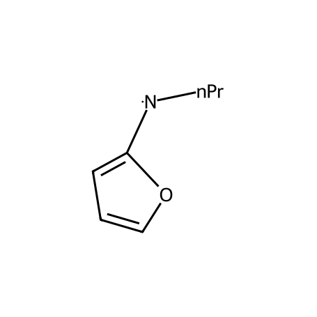 CCC[N]c1ccco1